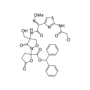 CON=C(C(=O)NC1(CO)CON(C2(C(=O)OC(c3ccccc3)c3ccccc3)CCC(=O)O2)C1=O)c1csc(NC(=O)CCl)n1